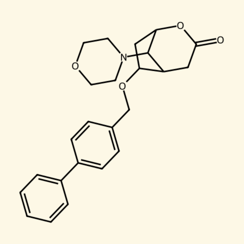 O=C1CC2C(OCc3ccc(-c4ccccc4)cc3)CC(O1)C2N1CCOCC1